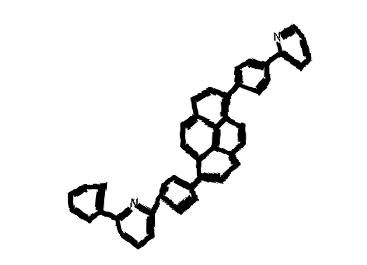 c1ccc(-c2cccc(-c3ccc(-c4ccc5ccc6c(-c7ccc(-c8ccccn8)cc7)ccc7ccc4c5c76)cc3)n2)cc1